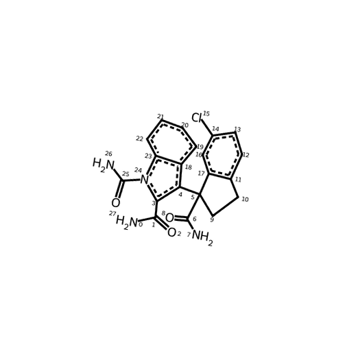 NC(=O)c1c(C2(C(N)=O)CCc3ccc(Cl)cc32)c2ccccc2n1C(N)=O